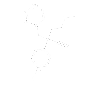 C=CN(CC(C#N)(CCCC)c1ccc(Cl)cc1)/N=C\N